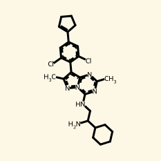 Cc1nc(NCC(N)C2CCCCC2)n2nc(C)c(-c3c(Cl)cc(C4=CCCC4)cc3Cl)c2n1